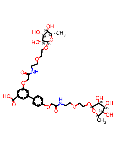 C[C@@H]1O[C@@H](OCCOCCNC(=O)COc2ccc(-c3cc(OCC(=O)NCCOCCO[C@@H]4O[C@@H](C)[C@H](O)[C@@H](O)[C@H]4O)cc(C(=O)O)c3)cc2)[C@H](O)[C@H](O)[C@H]1O